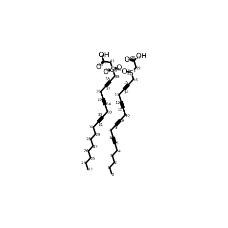 CCCCCC#CCC#CCC#CCC#CC[S+]([O-])CC(=O)O.CCCCCCCCC#CCC#CCC#CCS(=O)(=O)CC(=O)O